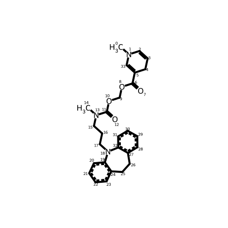 CN1C=CCC(C(=O)OCOC(=O)N(C)CCCN2c3ccccc3CCc3ccccc32)=C1